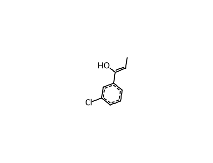 CC=C(O)c1cccc(Cl)c1